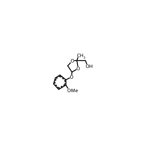 COc1ccccc1OC1COC(C)(CO)O1